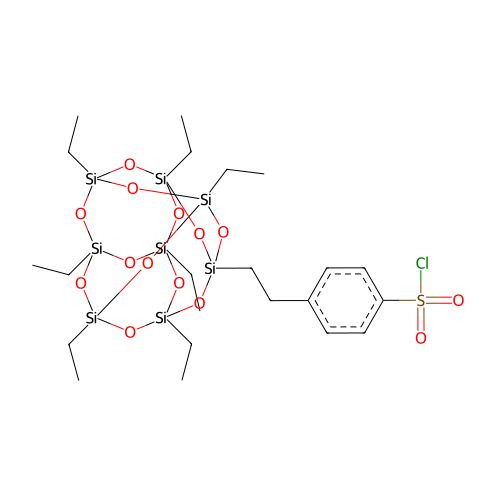 CC[Si]12O[Si]3(CC)O[Si]4(CC)O[Si](CC)(O1)O[Si]1(CC)O[Si](CC)(O2)O[Si](CC)(O3)O[Si](CCc2ccc(S(=O)(=O)Cl)cc2)(O4)O1